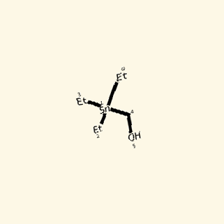 C[CH2][Sn]([CH2]C)([CH2]C)[CH2]O